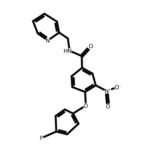 O=C(NCc1ccccn1)c1ccc(Oc2ccc(F)cc2)c([N+](=O)[O-])c1